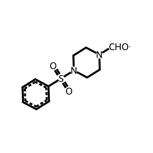 O=[C]N1CCN(S(=O)(=O)c2ccccc2)CC1